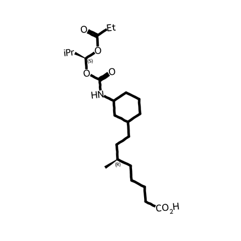 CCC(=O)O[C@@H](OC(=O)NC1CCCC(CC[C@H](C)CCCCC(=O)O)C1)C(C)C